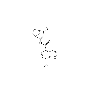 CSc1ccc(C(=O)OC2=CC(=O)C3CCC2C3)c2cc(C)oc12